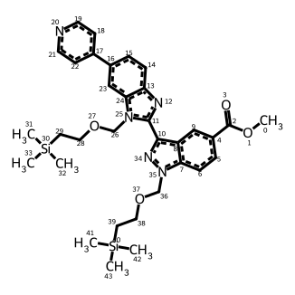 COC(=O)c1ccc2c(c1)c(-c1nc3ccc(-c4ccncc4)cc3n1COCC[Si](C)(C)C)nn2COCC[Si](C)(C)C